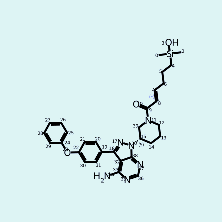 C[Si](C)(O)CCC/C=C/C(=O)N1CCC[C@H](n2nc(-c3ccc(Oc4ccccc4)cc3)c3c(N)ncnc32)C1